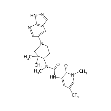 CN(C(=O)Nc1cc(C(F)(F)F)cn(C)c1=O)C1CCN(c2cnc3[nH]ncc3c2)CC1(C)C